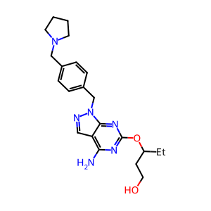 CCC(CCO)Oc1nc(N)c2cnn(Cc3ccc(CN4CCCC4)cc3)c2n1